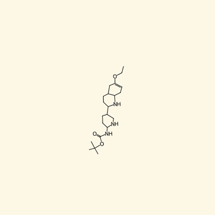 CCOC1=CCC2NC(C3CCC(NC(=O)OC(C)(C)C)NC3)CCC2C1